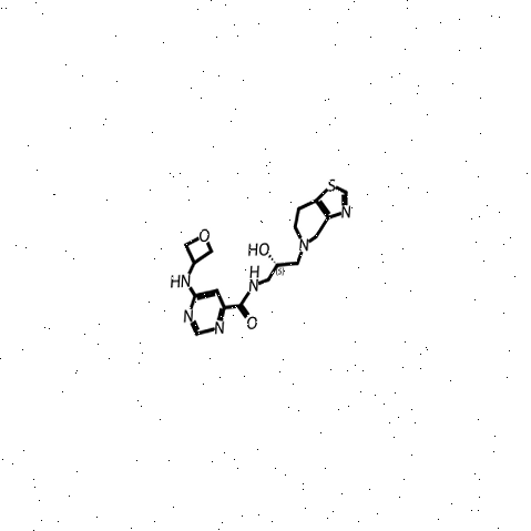 O=C(NC[C@H](O)CN1CCc2scnc2C1)c1cc(NC2COC2)ncn1